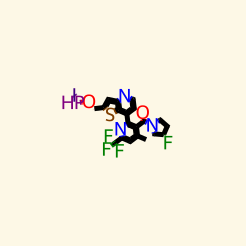 Cc1cc(C(F)(F)F)nc(-c2ccnc3cc(COPI)sc23)c1C(=O)N1CCC(F)C1